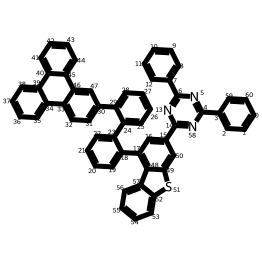 c1ccc(-c2nc(-c3ccccc3)nc(-c3cc(-c4ccccc4-c4ccccc4-c4ccc5c6ccccc6c6ccccc6c5c4)c4c(c3)sc3ccccc34)n2)cc1